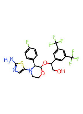 Nc1ncc(N2CCO[C@H](O[C@H](CO)c3cc(C(F)(F)F)cc(C(F)(F)F)c3)[C@@H]2c2ccc(F)cc2)s1